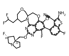 N#Cc1c(N)sc2c(F)ccc(-c3c(Cl)c4c5c(nc(OC[C@@]67CCCN6C[C@H](F)C7)nc5c3F)N3CC(CC(F)F)COCC3CO4)c12